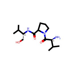 CC(C)[C@H](N)C(=O)N1CCCC1C(=O)N[C@H](CO)C(C)C